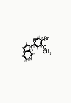 COc1cc(-n2ccc3ccncc32)ncc1Br